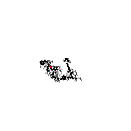 CC[C@H](C)[C@@H]([C@@H](CC(=O)N1CCC[C@H]1[C@H](OC)[C@@H](C)C(=O)N[C@H](CO)Cc1ccccc1)OC)N(C)C(=O)[C@@H](NC(=O)[C@H](CO)NC(=O)OCc1ccc(NC(=O)[C@H](CCCNC(N)=O)NC(=O)[C@@H](NC(=O)CCCCCN2C(=O)C=CC2=O)C(C)C)cc1)C(C)C